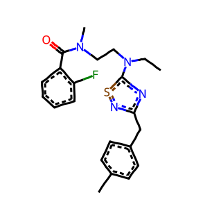 CCN(CCN(C)C(=O)c1ccccc1F)c1nc(Cc2ccc(C)cc2)ns1